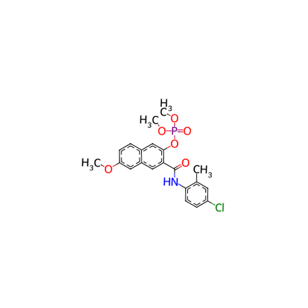 COc1ccc2cc(OP(=O)(OC)OC)c(C(=O)Nc3ccc(Cl)cc3C)cc2c1